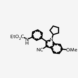 CCOC(=O)Nc1cccc(-c2c(C#N)c3ccc(OC)cc3n2C2CCCC2)c1